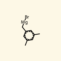 Cc1cc(C)cc([CH2][Mg][Br])c1